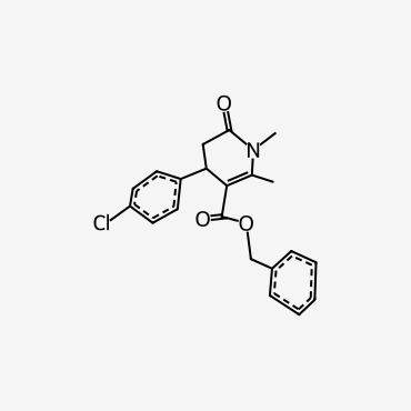 CC1=C(C(=O)OCc2ccccc2)C(c2ccc(Cl)cc2)CC(=O)N1C